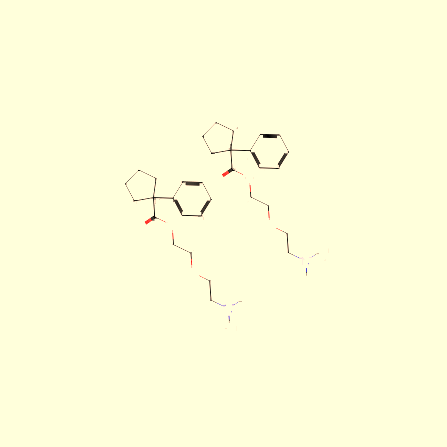 CCN(CC)CCOCCOC(=O)C1(c2ccccc2)CCCC1.CCN(CC)CCOCCOC(=O)C1(c2ccccc2)CCCC1